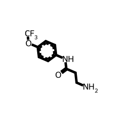 NCCC(=O)Nc1ccc(OC(F)(F)F)cc1